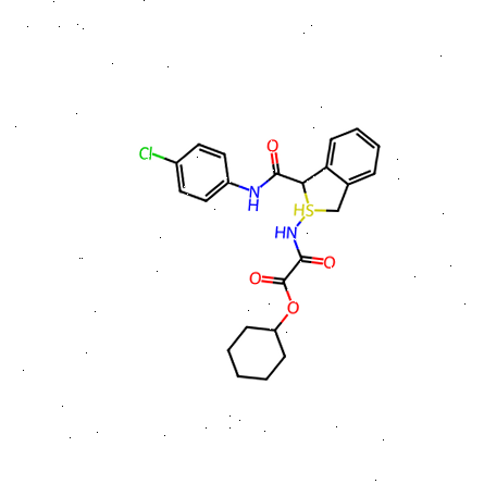 O=C(N[SH]1Cc2ccccc2C1C(=O)Nc1ccc(Cl)cc1)C(=O)OC1CCCCC1